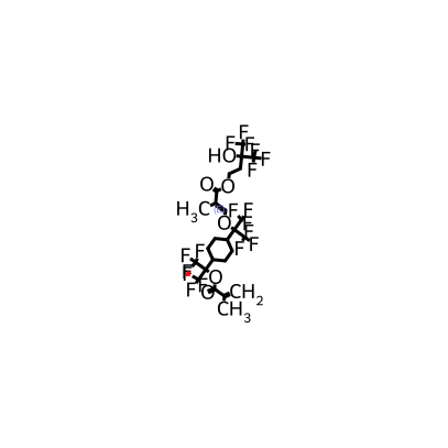 C=C(C)C(=O)OC(C1CCC(C(O/C=C(\C)C(=O)OCCC(O)(C(F)(F)F)C(F)(F)F)(C(F)(F)F)C(F)(F)F)CC1)(C(F)(F)F)C(F)(F)F